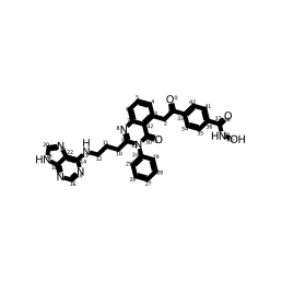 O=C(Cc1cccc2nc(CCCNc3ncnc4[nH]cnc34)n(-c3ccccc3)c(=O)c12)c1ccc(C(=O)NO)cc1